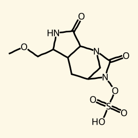 COCC1NC(=O)C2C1CC1CN2C(=O)N1OS(=O)(=O)O